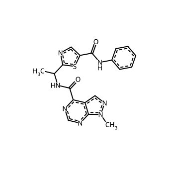 CC(NC(=O)c1ncnc2c1cnn2C)c1ncc(C(=O)Nc2ccccc2)s1